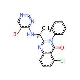 C[C@@H](Nc1ncncc1Br)c1nc2cccc(Cl)c2c(=O)n1-c1ccccc1